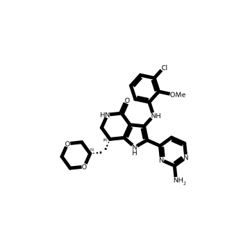 COc1c(Cl)cccc1Nc1c(-c2ccnc(N)n2)[nH]c2c1C(=O)NC[C@H]2C[C@H]1COCCO1